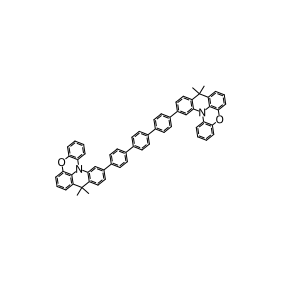 CC1(C)c2ccc(-c3ccc(-c4ccc(-c5ccc(-c6ccc7c(c6)N6c8ccccc8Oc8cccc(c86)C7(C)C)cc5)cc4)cc3)cc2N2c3ccccc3Oc3cccc1c32